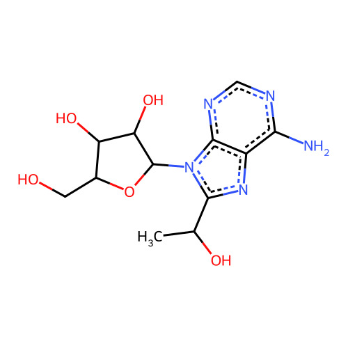 CC(O)c1nc2c(N)ncnc2n1C1OC(CO)C(O)C1O